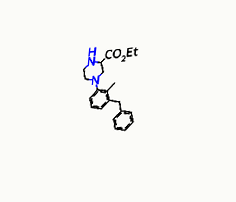 CCOC(=O)C1CN(c2cccc(Cc3ccccc3)c2C)CCN1